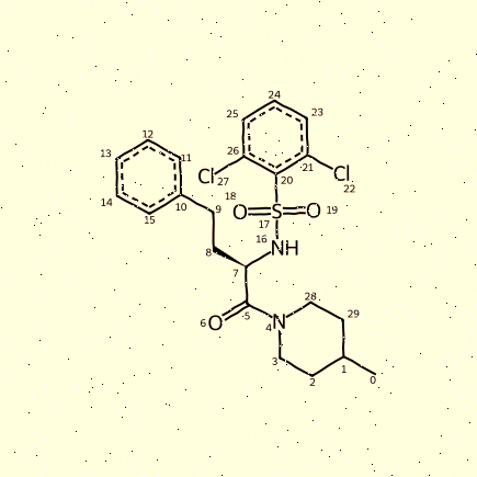 CC1CCN(C(=O)[C@@H](CCc2ccccc2)NS(=O)(=O)c2c(Cl)cccc2Cl)CC1